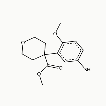 COC(=O)C1(c2cc(S)ccc2OC)CCOCC1